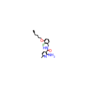 C#CCCCCOc1cccc(CNC(=O)c2ccc(C)nc2N)c1F